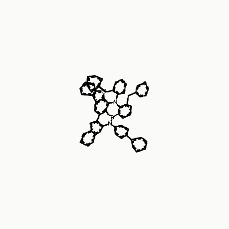 c1ccc(Cc2ccccc2N2c3c(Cc4ccccc4)cccc3B3c4c(cc5c(oc6ccccc65)c42)-c2cc4ccccc4cc2N3c2ccc(-c3ccccc3)cc2)cc1